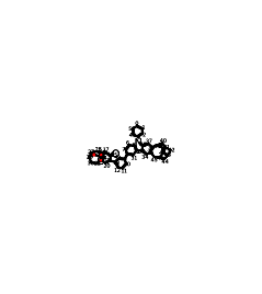 c1ccc(-n2c3ccc(-c4cccc5c4oc4cc6c(cc45)C4CC5CC(CC6C5)C4)cc3c3cc4c(cc32)C2CC3CC5CC4CC53C2)cc1